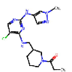 Cn1cc(Nc2ncc(Cl)c(NCC3CCCN(C(=O)CC#N)C3)n2)cn1